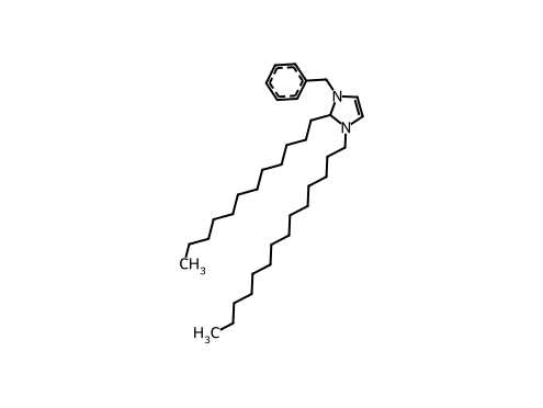 CCCCCCCCCCCCCCN1C=CN(Cc2ccccc2)C1CCCCCCCCCCCC